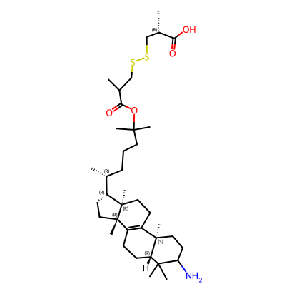 CC(CSSC[C@H](C)C(=O)O)C(=O)OC(C)(C)CCC[C@@H](C)[C@H]1CC[C@@]2(C)C3=C(CC[C@]12C)[C@@]1(C)CCC(N)C(C)(C)[C@@H]1CC3